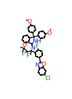 COc1ccc(C(NC2=NC(C)(c3cc(-c4nc5ccc(Cl)cc5o4)ccc3F)C(F)(F)C(C)(C)OC2)(c2ccccc2)c2ccc(OC)cc2)cc1